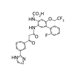 O=C(O)Nc1cc(OCC(F)(F)F)c(-c2ccccc2F)cc1NC(=O)CC(=O)c1cccc(-c2ncc[nH]2)c1